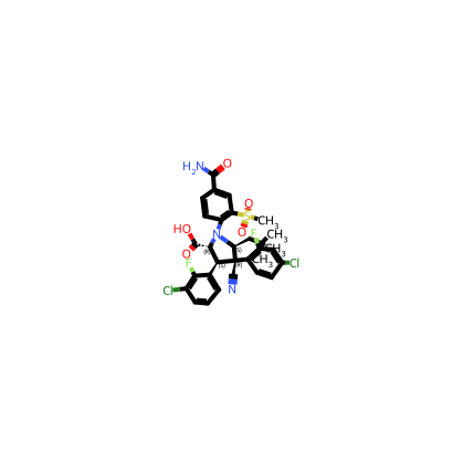 CC(C)(C)C[C@@H]1N(c2ccc(C(N)=O)cc2S(C)(=O)=O)[C@@H](C(=O)O)[C@H](c2cccc(Cl)c2F)[C@@]1(C#N)c1ccc(Cl)cc1F